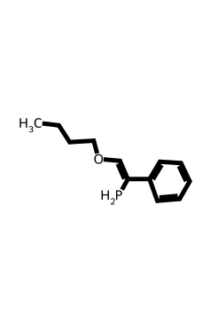 CCCCOC=C(P)c1ccccc1